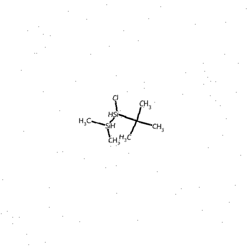 C[SiH](C)[SiH](Cl)C(C)(C)C